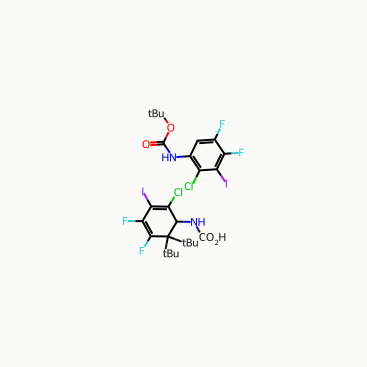 CC(C)(C)C1(C(C)(C)C)C(F)=C(F)C(I)=C(Cl)C1NC(=O)O.CC(C)(C)OC(=O)Nc1cc(F)c(F)c(I)c1Cl